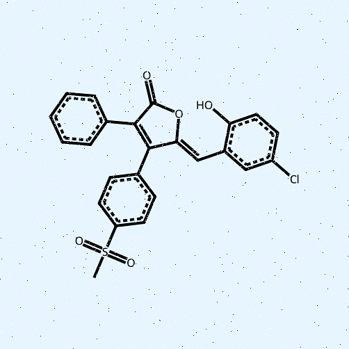 CS(=O)(=O)c1ccc(C2=C(c3ccccc3)C(=O)O/C2=C\c2cc(Cl)ccc2O)cc1